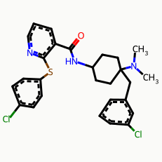 CN(C)C1(Cc2cccc(Cl)c2)CCC(NC(=O)c2cccnc2Sc2ccc(Cl)cc2)CC1